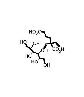 C=CC(C=C)(CCCC(=O)O)C(=O)O.OC[C@@H](O)[C@@H](O)[C@H](O)[C@@H](O)CO